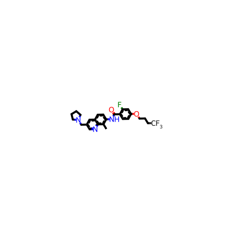 Cc1c(NC(=O)c2ccc(OCCCC(F)(F)F)cc2F)ccc2cc(CN3CCCC3)cnc12